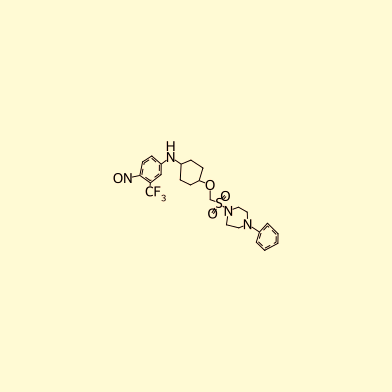 O=Nc1ccc(NC2CCC(OCS(=O)(=O)N3CCN(c4ccccc4)CC3)CC2)cc1C(F)(F)F